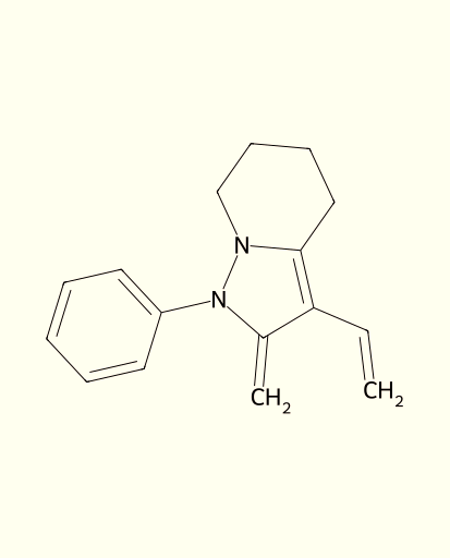 C=CC1=C2CCCCN2N(c2ccccc2)C1=C